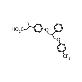 CC(CC(=O)O)c1ccc(OCC(COc2ccc(C(F)(F)F)cc2)c2ccccc2)cc1